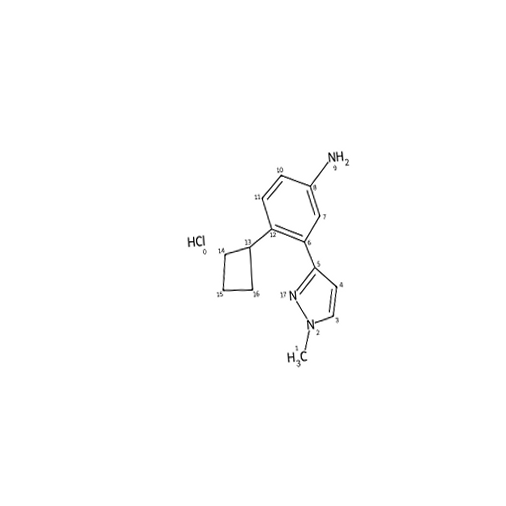 Cl.Cn1ccc(-c2cc(N)ccc2C2CCC2)n1